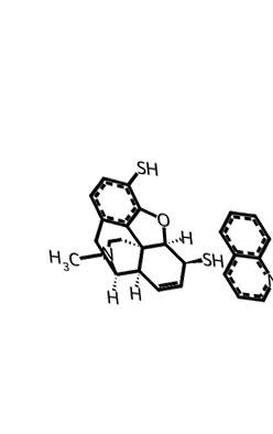 CN1CC[C@]23c4c5ccc(S)c4O[C@H]2[C@@H](S)C=C[C@H]3[C@H]1C5.c1ccc2ncccc2c1